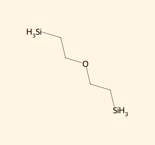 [SiH3]CCOCC[SiH3]